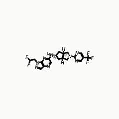 FC(F)Cn1ncc2ncc(N[C@H]3C[C@@H]4CN(c5ncc(C(F)(F)F)cn5)C[C@@H]4C3)nc21